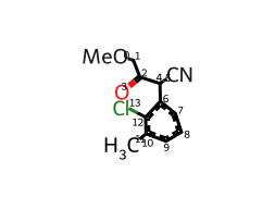 COCC(=O)C(C#N)c1cccc(C)c1Cl